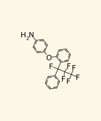 Nc1ccc(Oc2ccccc2C(F)(c2ccccc2)C(F)(F)C(F)(F)F)cc1